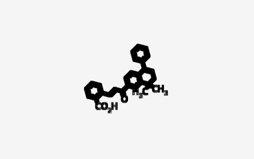 CC1(C)CC=C(c2ccccc2)c2ccc(C(=O)C=Cc3ccccc3C(=O)O)cc21